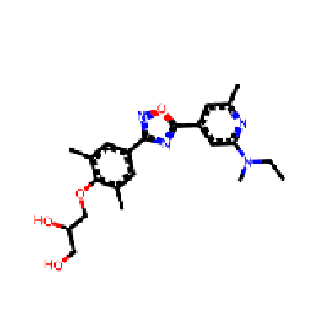 CCN(C)c1cc(-c2nc(-c3cc(C)c(OCC(O)CO)c(C)c3)no2)cc(C)n1